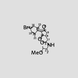 COCC(C)NC(=O)CC1CC(=O)C(c2c(C)cc(Br)cc2C)C1=O